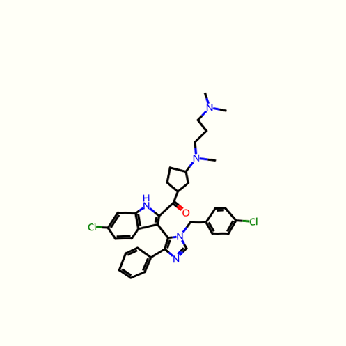 CN(C)CCCN(C)C1CCC(C(=O)c2[nH]c3cc(Cl)ccc3c2-c2c(-c3ccccc3)ncn2Cc2ccc(Cl)cc2)C1